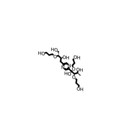 C[C@H](O)[C@@H](OCCCO)C(O)(OCCCO)c1cnc(C[C@H](O)[C@@H](CO)OCCCO)cn1